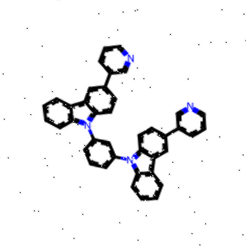 c1cncc(-c2ccc3c(c2)c2ccccc2n3-c2cccc(-n3c4ccccc4c4cc(-c5cccnc5)ccc43)c2)c1